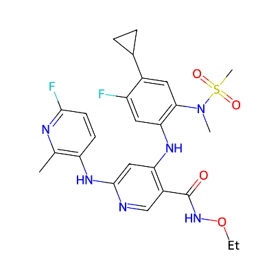 CCONC(=O)c1cnc(Nc2ccc(F)nc2C)cc1Nc1cc(F)c(C2CC2)cc1N(C)S(C)(=O)=O